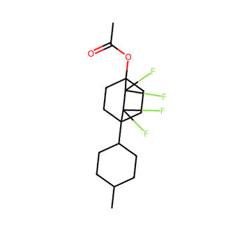 CC(=O)OC12CCC(C3CCC(C)CC3)(CC1)C(F)(F)C2(F)F